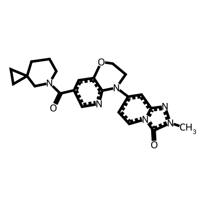 Cn1nc2cc(N3CCOc4cc(C(=O)N5CCCC6(CC6)C5)cnc43)ccn2c1=O